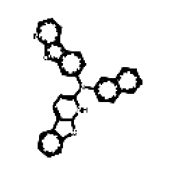 C1=C2c3ccccc3OC2NC(N(c2ccc3ccccc3c2)c2ccc3c(c2)oc2ncccc23)=C1